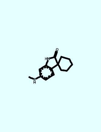 CBc1ccc2c(c1)NC(=O)C21CCCCC1